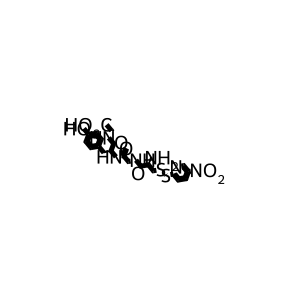 N[C@@H](CSSc1ccc([N+](=O)[O-])cn1)C(=O)NCC(=O)N[C@@H](Cc1ccc(O)cc1)C(=O)NCC(=O)O